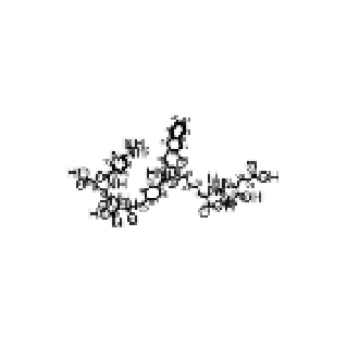 NNc1ccc(C(=O)NC(CCC(=O)O)C(=O)NC(C(=O)O)C(=O)NCC2CCC(C(=O)NC(Cc3ccc4ccccc4c3)C(=O)NCCCCC(NC(=O)NC(CCC(=O)O)C(=O)O)C(=O)O)CC2)cn1